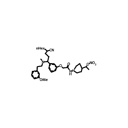 CCCCCCC(C#N)CCC(c1cccc(OCC(=O)NN2CCC(C(C)O[N+](=O)[O-])CC2)c1)N(C)CCc1cccc(OC)c1